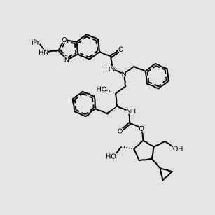 CC(C)Nc1nc2cc(C(=O)NN(Cc3ccccc3)C[C@@H](O)[C@H](Cc3ccccc3)NC(=O)OC3C(CO)C(C4CC4)C[C@@H]3CO)ccc2o1